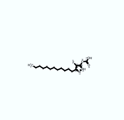 CCCCCCCCCCCCc1n[nH]c(OC(=O)O)c1F